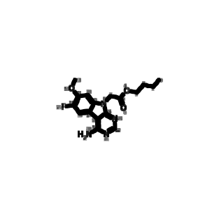 CCCCOC(=O)Cn1c2cc(OC)c(F)cc2c2c(N)ncnc21